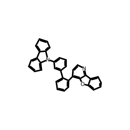 c1cc(-c2ccccc2-c2ccnc3c2oc2ccccc23)cc(-n2c3ccccc3c3ccccc32)c1